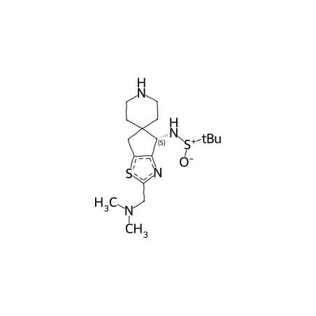 CN(C)Cc1nc2c(s1)CC1(CCNCC1)[C@@H]2N[S+]([O-])C(C)(C)C